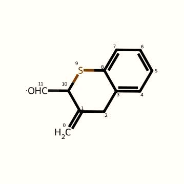 C=C1Cc2ccccc2SC1[C]=O